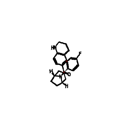 O=C(c1ccc2c(c1)CCCN2)N1[C@@H]2CC[C@H]1C[C@@H](c1ccc(F)cc1)C2